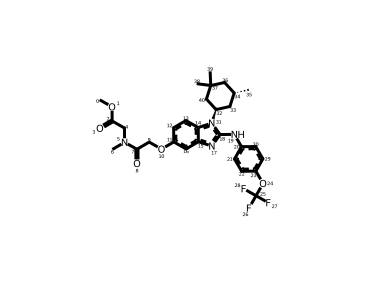 COC(=O)CN(C)C(=O)COc1ccc2c(c1)nc(Nc1ccc(OC(F)(F)F)cc1)n2[C@@H]1C[C@@H](C)CC(C)(C)C1